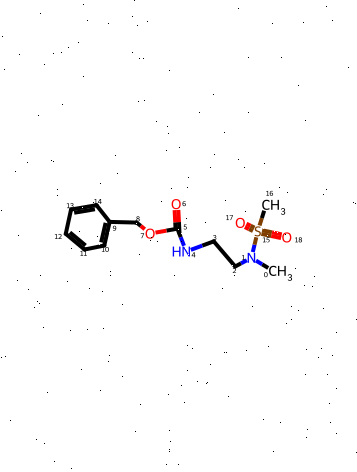 CN(CCNC(=O)OCc1ccccc1)S(C)(=O)=O